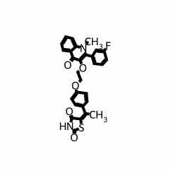 C/C(=C1\SC(=O)NC1=O)c1ccc(OCCOc2c(-c3cccc(F)c3)n(C)c3ccccc3c2=O)cc1